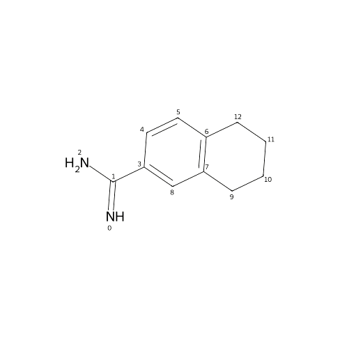 N=C(N)c1ccc2c(c1)CCCC2